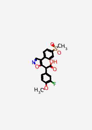 COc1ccc(C(C(=O)O)c2oncc2-c2ccc(S(C)(=O)=O)cc2)cc1F